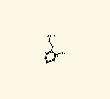 CCCCc1ccccc1CCC=O